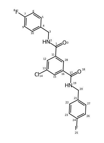 O=C(NCc1ccc(F)cc1)c1cc(Cl)cc(C(=O)NCc2ccc(F)cc2)c1